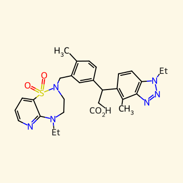 CCN1CCN(Cc2cc(C(CC(=O)O)c3ccc4c(nnn4CC)c3C)ccc2C)S(=O)(=O)c2cccnc21